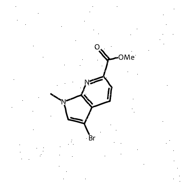 COC(=O)c1ccc2c(Br)cn(C)c2n1